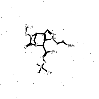 CN/C(=N\O[Si](C)(C)C(C)(C)C)C1c2c(cnn2CCNC(C)=O)C2CN1C(=O)N2OS(=O)(=O)O